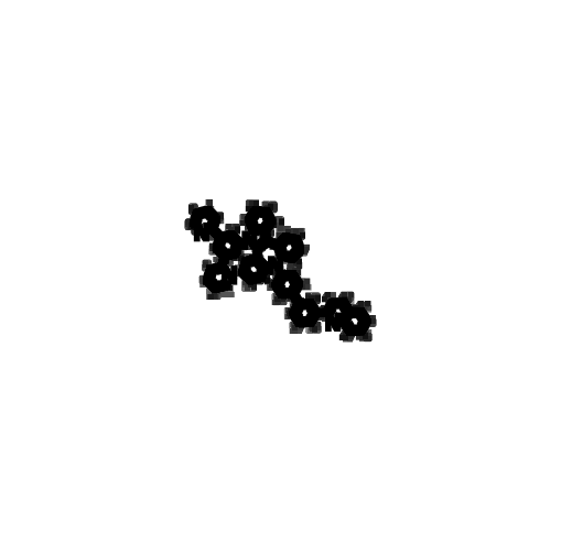 c1ccc(-c2cc(-c3ccccn3)cc(-n3c4c(c5ccccc53)-c3ccccc3N(c3ccc(-c5cccc(-c6ccc7ccccc7n6)c5)cc3)c3ccccc3-4)c2)nc1